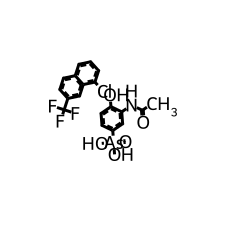 CC(=O)Nc1cc([As](=O)(O)O)ccc1O.FC(F)(F)c1ccc2cccc(Cl)c2c1